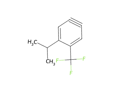 CC(C)c1cc#ccc1C(F)(F)F